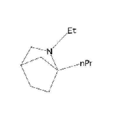 CCCC12CCC(CN1CC)C2